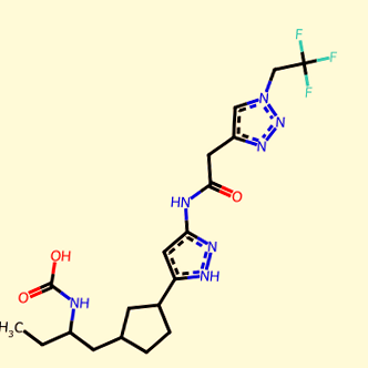 CCC(CC1CCC(c2cc(NC(=O)Cc3cn(CC(F)(F)F)nn3)n[nH]2)C1)NC(=O)O